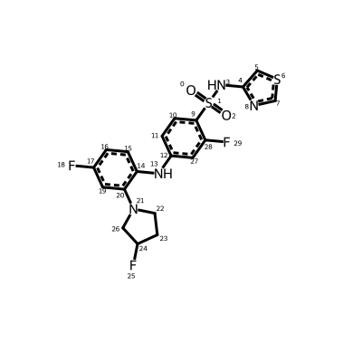 O=S(=O)(Nc1cscn1)c1ccc(Nc2ccc(F)cc2N2CCC(F)C2)cc1F